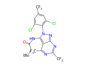 CC(C)(C)CC(=O)Nc1c2c(C(F)(F)F)nc(C(F)(F)F)nc2nn1-c1c(Cl)cc(C(F)(F)F)cc1Cl